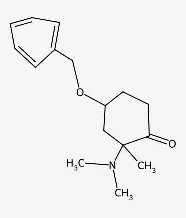 CN(C)C1(C)CC(OCc2ccccc2)CCC1=O